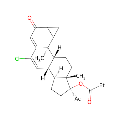 CCC(=O)O[C@@]1(C(C)=O)CC[C@H]2[C@@H]3C=C(Cl)C4=CC(=O)C5CC5[C@@]4(C)[C@@H]3CC[C@@]21C